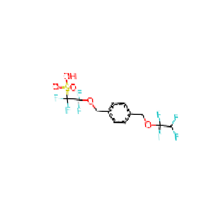 O=S(=O)(O)C(F)(F)C(F)(F)OCc1ccc(COC(F)(F)C(F)F)cc1